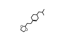 CC(C)CC1CC=C(CCC2OCCO2)CC1